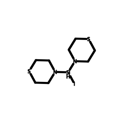 I[SiH](N1CCSCC1)N1CCSCC1